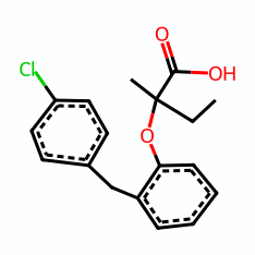 CCC(C)(Oc1ccccc1Cc1ccc(Cl)cc1)C(=O)O